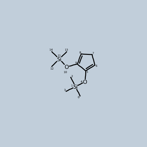 C[Si](C)(C)OC1=CCC=C1O[Si](C)(C)C